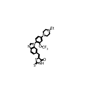 CCN1CCN(c2ccc(-n3cnc4ccc(/C=C5\SC(=S)NC5=O)cc43)c(OC(F)(F)F)c2)CC1